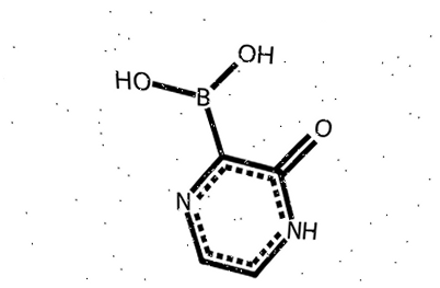 O=c1[nH]ccnc1B(O)O